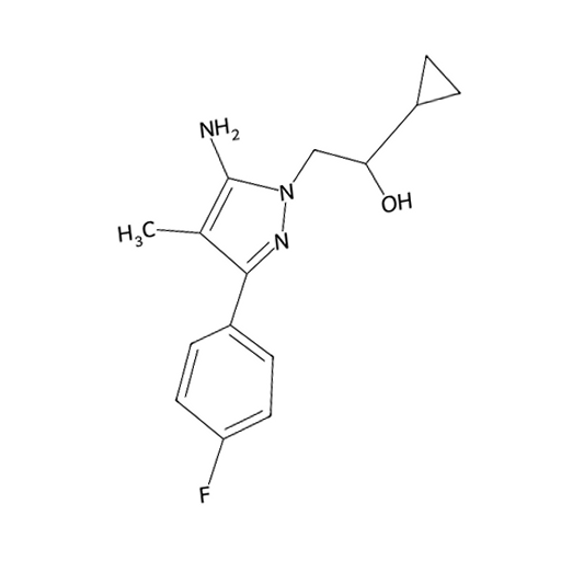 Cc1c(-c2ccc(F)cc2)nn(CC(O)C2CC2)c1N